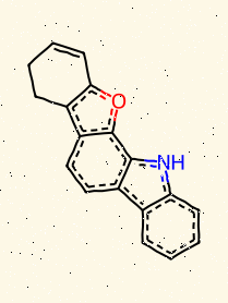 C1=Cc2oc3c(ccc4c5ccccc5[nH]c43)c2CC1